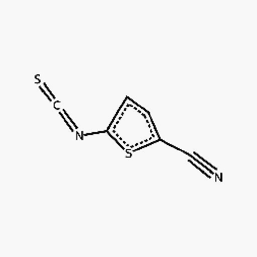 N#Cc1ccc(N=C=S)s1